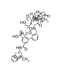 COc1c(CN2O[C@@H](CO)[C@H]([C@H](C)O)C2C(=O)N[C@H]2C[C@H]3C[C@@H]([C@@H]2C)C3(C)C)cccc1-c1cc(C(=O)O)cc(C(=O)N[C@@H](Cc2ccccc2)CN(C)C)c1